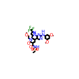 CCS(=O)(=O)NC(=O)c1cc(-c2cnc(Nc3cc(OC)cc(OC)c3)nc2-n2nc(C(F)(F)F)cc2C)cn(CCOC)c1=O